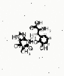 Cn1c(=O)c2[nH]cnc2n(C)c1=O.NC(Cc1cccc(O)c1O)C(=O)O